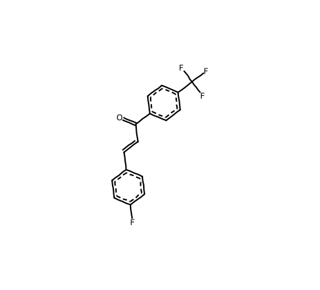 O=C(C=Cc1ccc(F)cc1)c1ccc(C(F)(F)F)cc1